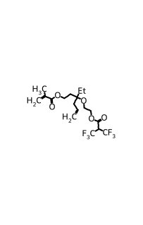 C=CCC(CC)(CCOC(=O)C(=C)C)OCCOC(=O)C(C(F)(F)F)C(F)(F)F